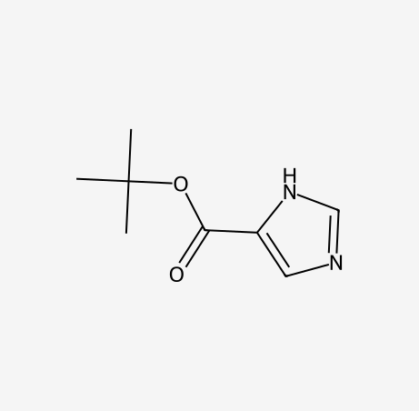 CC(C)(C)OC(=O)c1cnc[nH]1